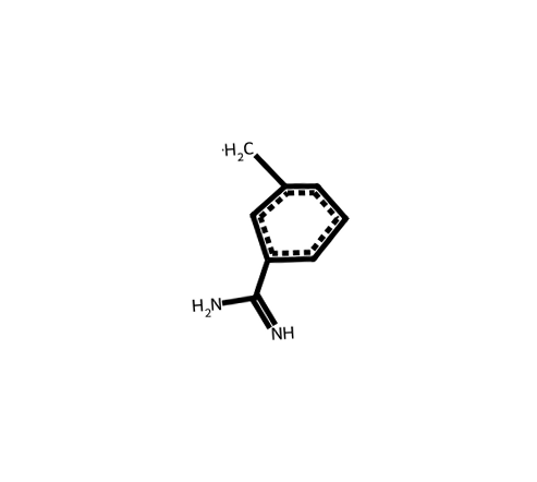 [CH2]c1cccc(C(=N)N)c1